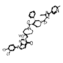 Cc1ccc(-c2nc(C)c(C(=O)N3CC[C@@H](C(=O)N4CCC(O)(Cn5cnc6c(ccn6-c6ccc(Cl)c(Cl)c6)c5=O)CC4)[C@H](c4ccccc4)C3)s2)cn1